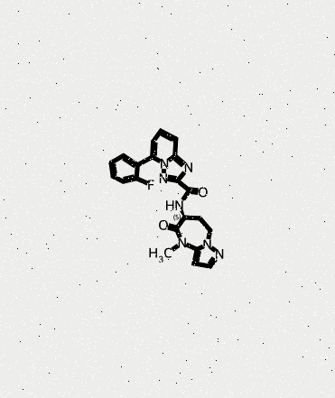 CN1C(=O)[C@@H](NC(=O)c2nc3cccc(-c4ccccc4F)n3n2)CCn2nccc21